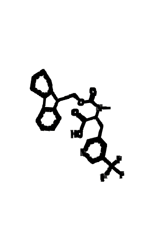 CN(C(=O)OCC1c2ccccc2-c2ccccc21)[C@@H](Cc1cncc(C(F)(F)F)c1)C(=O)O